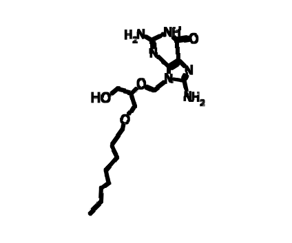 CCCCCCCCOCC(CO)OCn1c(N)nc2c(=O)[nH]c(N)nc21